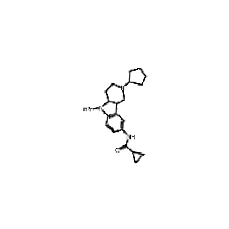 CCCN1c2ccc(NC(=O)C3CC3)cc2C2CN(C3CCCC3)CCC21